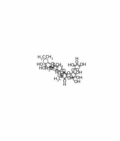 C[C@H]1O[C@@H](O[C@H]2CC[C@@]3(C)[C@@H](CC[C@]4(C)[C@@H]3C=CC3=C5CC(C)(C)CC[C@]5(CO)[C@H](O)C[C@]34C)[C@]2(C)CO)[C@H](O[C@@H]2O[C@H](CO)[C@@H](O)[C@H](O)[C@H]2O[C@@H]2OC[C@@H](O)[C@H](O)[C@H]2O)[C@@H](O)[C@H]1O